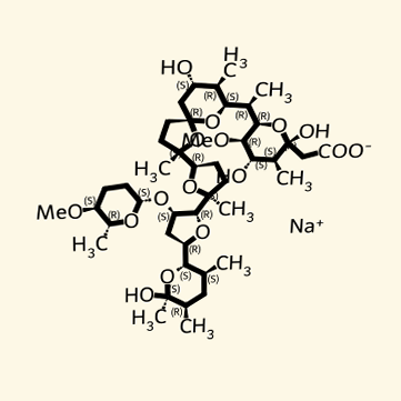 CO[C@@H]1[C@@H](O)[C@H](C)[C@@](O)(CC(=O)[O-])O[C@@H]1[C@H](C)[C@H]1O[C@@]2(CC[C@@](C)([C@H]3CC[C@@](C)([C@@H]4O[C@@H]([C@H]5O[C@](C)(O)[C@H](C)C[C@@H]5C)C[C@@H]4O[C@H]4CC[C@H](OC)[C@@H](C)O4)O3)O2)C[C@H](O)[C@H]1C.[Na+]